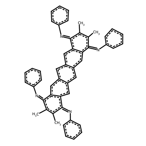 Cc1c(C)/c(=N\c2ccccc2)c2cc3cc4cc5/c(=N/c6ccccc6)c(C)c(C)/c(=N\c6ccccc6)c5cc4cc3cc2/c1=N\c1ccccc1